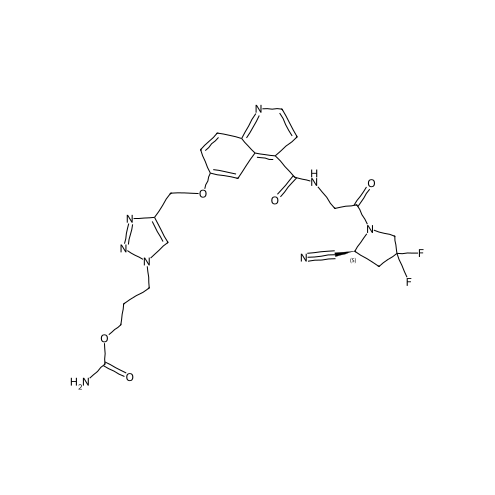 N#C[C@@H]1CC(F)(F)CN1C(=O)CNC(=O)c1ccnc2ccc(OCc3cn(CCCOC(N)=O)nn3)cc12